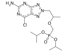 CC(C)OP(=O)(COC(C)Cn1nc2nc(N)nc(Cl)c2n1)OC(C)C